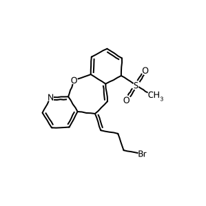 CS(=O)(=O)C1C=CC=C2Oc3ncccc3C(=CCCBr)C=C21